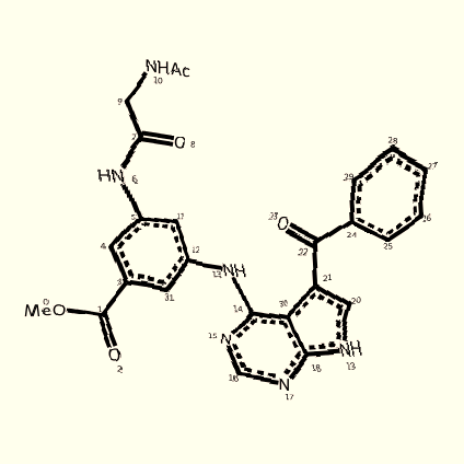 COC(=O)c1cc(NC(=O)CNC(C)=O)cc(Nc2ncnc3[nH]cc(C(=O)c4ccccc4)c23)c1